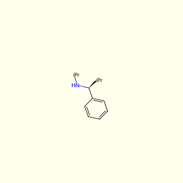 CC(C)N[C@H](c1ccccc1)C(C)C